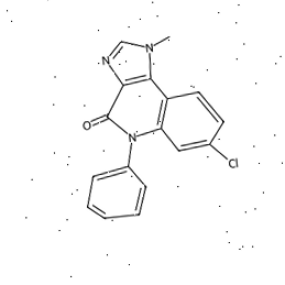 Cn1cnc2c(=O)n(-c3ccccc3)c3cc(Cl)ccc3c21